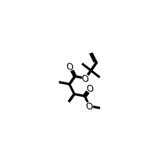 C=CC(C)(C)OC(=O)C(C)C(C)C(=O)OC